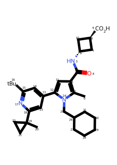 Cc1c(C(=O)N[C@H]2C[C@H](C(=O)O)C2)cc(-c2cc(C(C)(C)C)nc(C3(C)CC3)c2)n1CC1CCCCC1